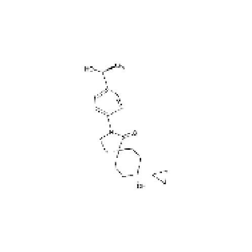 O=C1N(c2ccc([C@@H](O)C(F)(F)F)cc2)CC[C@]12CC[C@](O)(C1CC1)CC2